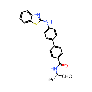 CC(C)[C@@H](C=O)NC(=O)c1ccc(-c2ccc(Nc3nc4ccccc4s3)cc2)cc1